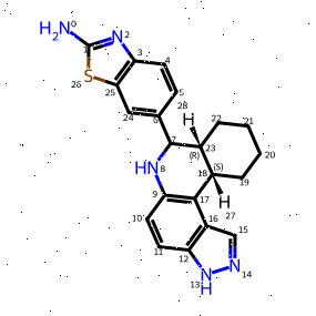 Nc1nc2ccc(C3Nc4ccc5[nH]ncc5c4[C@H]4CCCC[C@@H]34)cc2s1